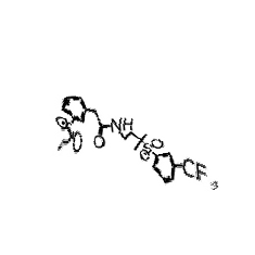 CC(C)(CCNC(=O)Cc1cccc(S(C)(=O)=O)c1)S(=O)(=O)c1cccc(C(F)(F)F)c1